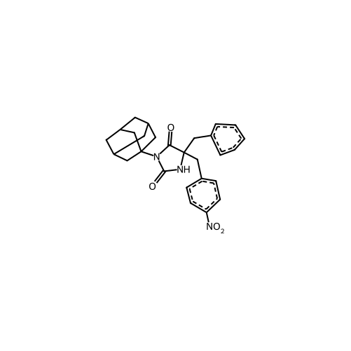 O=C1NC(Cc2ccccc2)(Cc2ccc([N+](=O)[O-])cc2)C(=O)N1C12CC3CC(CC(C3)C1)C2